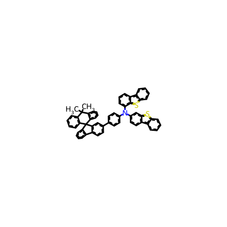 CC1(C)c2ccccc2C2(c3ccccc3-c3ccc(-c4ccc(N(c5ccc6c(c5)sc5ccccc56)c5cccc6c5sc5ccccc56)cc4)cc32)c2ccccc21